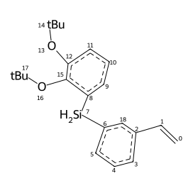 C=Cc1cccc([SiH2]c2cccc(OC(C)(C)C)c2OC(C)(C)C)c1